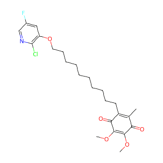 COC1=C(OC)C(=O)C(CCCCCCCCCCOc2cc(F)cnc2Cl)=C(C)C1=O